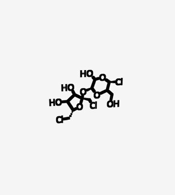 OCC1O[C@@H](O[C@]2(CCl)O[C@H](CCl)C(O)C2O)C(O)O[C@H]1Cl